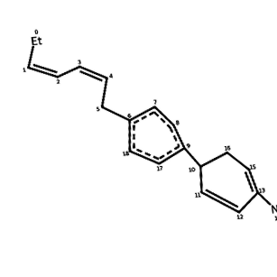 CC/C=C\C=C/Cc1ccc(C2C=CC(N)=CC2)cc1